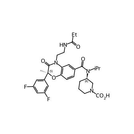 CCC(=O)NCCN1C(=O)[C@](C)(c2cc(F)cc(F)c2)Oc2ccc(C(=O)N(C(C)C)[C@@H]3CCCN(C(=O)O)C3)cc21